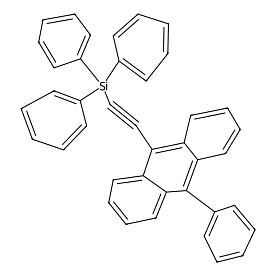 C(#C[Si](c1ccccc1)(c1ccccc1)c1ccccc1)c1c2ccccc2c(-c2ccccc2)c2ccccc12